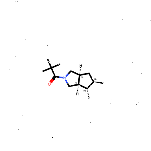 C[C@@H]1[C@H]2CN(C(=O)C(C)(C)C)C[C@H]2C[C@H]1C